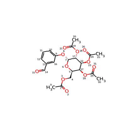 CC(=O)OC[C@H]1O[C@H](Oc2cccc(C=O)c2)[C@H](OC(C)=O)[C@@H](OC(C)=O)[C@H]1OC(C)=O